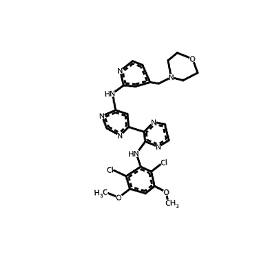 COc1cc(OC)c(Cl)c(Nc2nccnc2-c2cc(Nc3cc(CN4CCOCC4)ccn3)ncn2)c1Cl